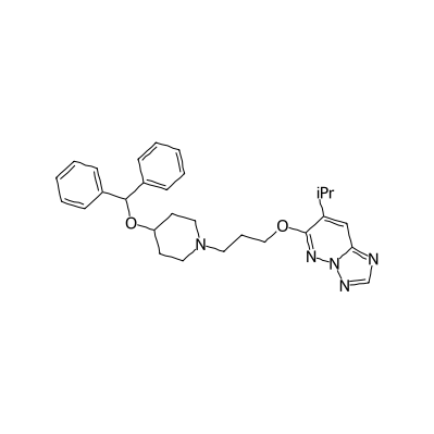 CC(C)c1cc2ncnn2nc1OCCCN1CCC(OC(c2ccccc2)c2ccccc2)CC1